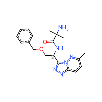 Cc1ccc2nnc([C@@H](COCc3ccccc3)NC(=O)C(C)(C)N)n2n1